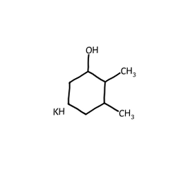 CC1CCCC(O)C1C.[KH]